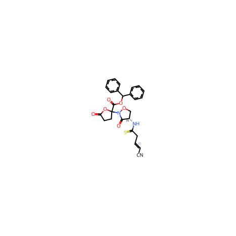 N#C/C=C/CC(=S)N[C@H]1CON(C2(C(=O)OC(c3ccccc3)c3ccccc3)CCC(=O)O2)C1=O